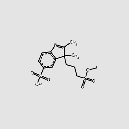 CC1=Nc2ccc(S(=O)(=O)O)cc2C1(C)CCCS(=O)(=O)OI